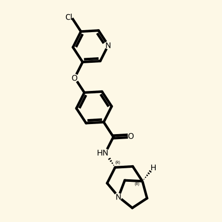 O=C(N[C@@H]1C[C@H]2CCN(C2)C1)c1ccc(Oc2cncc(Cl)c2)cc1